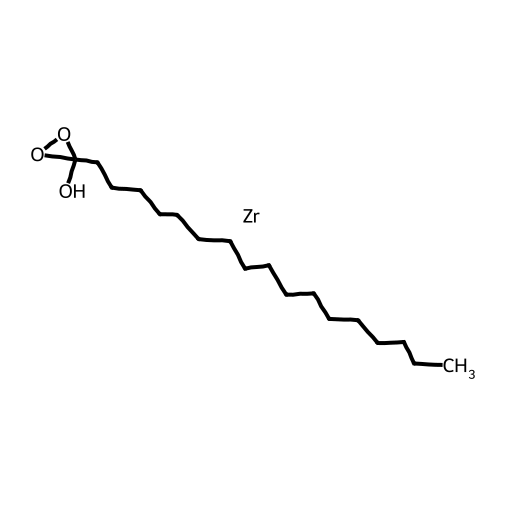 CCCCCCCCCCCCCCCCCC1(O)OO1.[Zr]